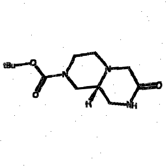 CC(C)(C)OC(=O)N1CCN2CC(=O)NC[C@@H]2C1